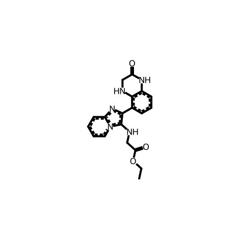 CCOC(=O)CNc1c(-c2cccc3c2NCC(=O)N3)nc2ccccn12